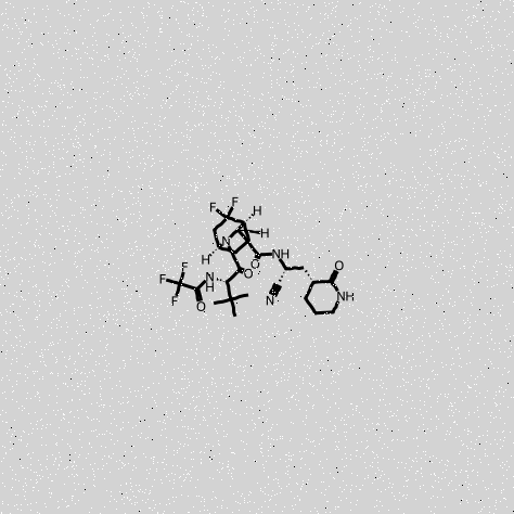 CC(C)(C)[C@H](NC(=O)C(F)(F)F)C(=O)N1[C@H]2CC[C@@H]([C@@H]1C(=O)N[C@@H](C#N)C[C@H]1CCCNC1=O)C(F)(F)C2